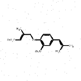 CCOC(=O)C=C(C)COc1ccc(C=C(C)C)cc1OC